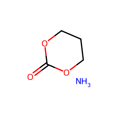 N.O=C1OCCCO1